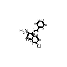 Nc1cnc2cc(Cl)ccc2c1SCc1ccccc1